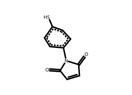 O=C1C=CC(=O)N1c1ccc(S)cc1